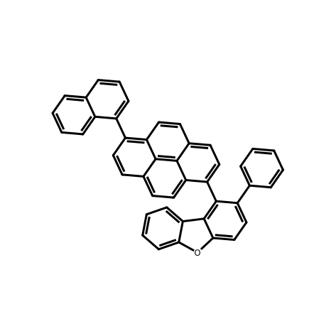 c1ccc(-c2ccc3oc4ccccc4c3c2-c2ccc3ccc4c(-c5cccc6ccccc56)ccc5ccc2c3c54)cc1